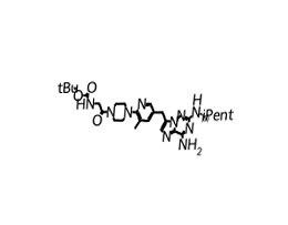 CCC[C@H](C)Nc1nc(N)c2ncc(Cc3cnc(N4CCN(C(=O)CNC(=O)OC(C)(C)C)CC4)c(C)c3)n2n1